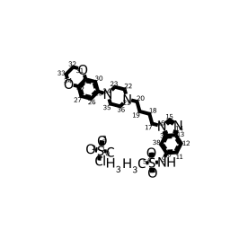 CS(=O)(=O)Cl.CS(=O)(=O)Nc1ccc2ncn(CCCCN3CCN(c4ccc5c(c4)OCCO5)CC3)c2c1